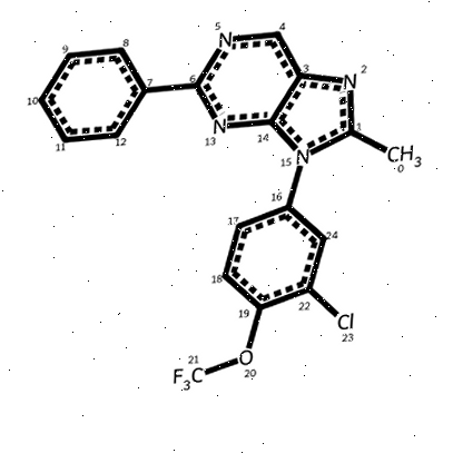 Cc1nc2cnc(-c3ccccc3)nc2n1-c1ccc(OC(F)(F)F)c(Cl)c1